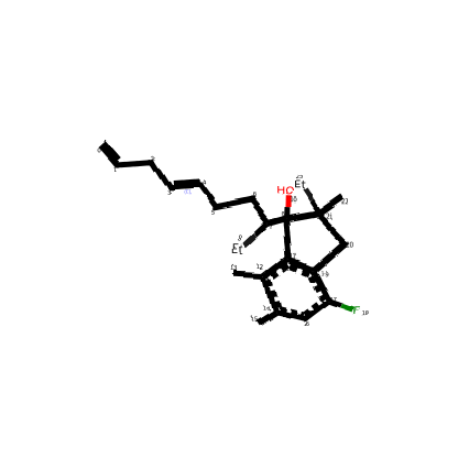 C=CC/C=C/CCC(CC)C1(O)c2c(C)c(C)cc(F)c2CC1(C)CC